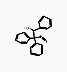 CC(c1ccccc1)C(P=S)(c1ccccc1)c1ccccc1